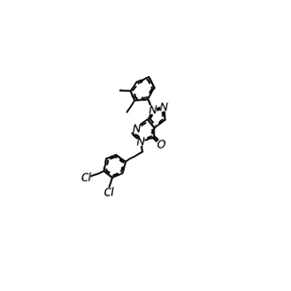 Cc1cccc(-n2ncc3c(=O)n(Cc4ccc(Cl)c(Cl)c4)cnc32)c1C